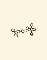 c1ccc(-c2c3c(c(-c4ccccc4)c4ccccc24)-c2ccc(-c4ccc(-c5ccc6c(c5)c5ncccc5n6-c5ccccc5)cc4)c4cccc-3c24)cc1